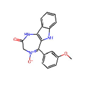 COc1cccc(C2=[N+]([O-])CC(=O)Nc3c2[nH]c2ccccc32)c1